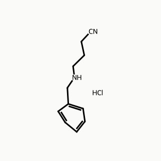 Cl.N#CCCCNCc1ccccc1